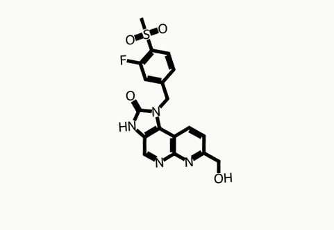 CS(=O)(=O)c1ccc(Cn2c(=O)[nH]c3cnc4nc(CO)ccc4c32)cc1F